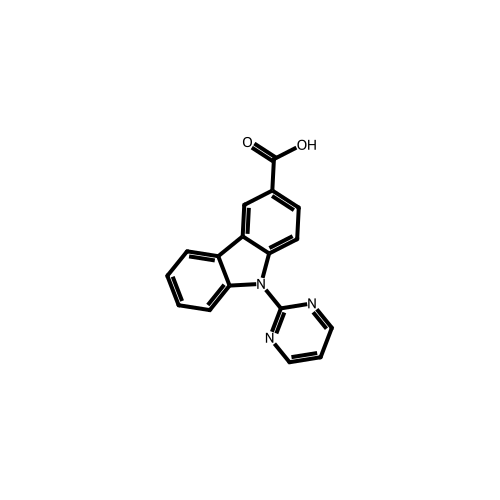 O=C(O)c1ccc2c(c1)c1ccccc1n2-c1ncccn1